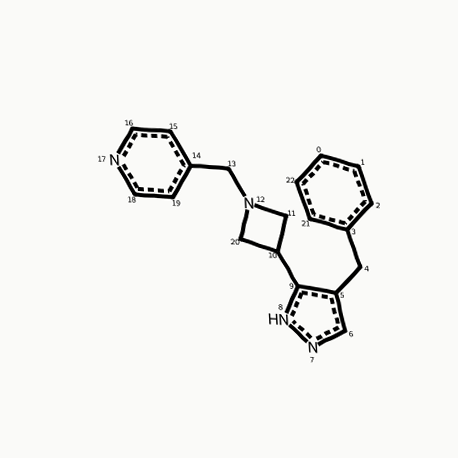 c1ccc(Cc2cn[nH]c2C2CN(Cc3ccncc3)C2)cc1